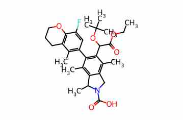 CCOC(=O)C(OC(C)(C)C)c1c(C)c2c(c(C)c1-c1cc(F)c3c(c1C)CCCO3)C(C)N(C(=O)O)C2